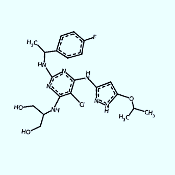 CC(C)Oc1cc(Nc2nc(NC(C)c3ccc(F)cc3)nc(NC(CO)CO)c2Cl)n[nH]1